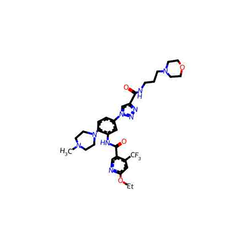 CCOc1cc(C(F)(F)F)c(C(=O)Nc2cc(-n3cc(C(=O)NCCCN4CCOCC4)nn3)ccc2N2CCN(C)CC2)cn1